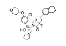 O=C(N[C@H](CN1CCCC1)[C@H](O)c1ccc(OC2CCOCC2)c(Cl)c1)C(F)(F)CCc1ccc2ccccc2c1